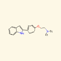 CCN(CC)CCOc1ccc(-c2cc3ccccc3[nH]2)cc1